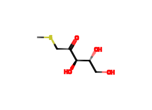 CSCC(=O)[C@H](O)[C@H](O)CO